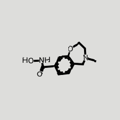 CN1CCOc2cc(C(=O)NO)ccc2C1